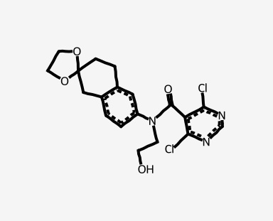 O=C(c1c(Cl)ncnc1Cl)N(CCO)c1ccc2c(c1)CCC1(C2)OCCO1